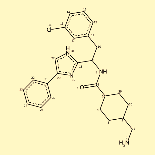 NCC1CCC(C(=O)NC(Cc2cccc(Cl)c2)c2nc(-c3ccccc3)c[nH]2)CC1